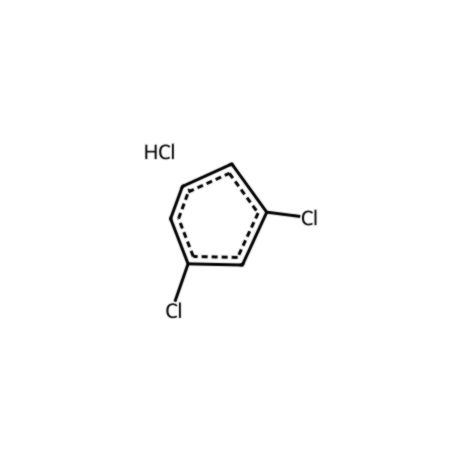 Cl.Clc1cccc(Cl)c1